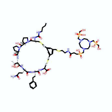 CCCCNC(=O)N[C@H]1CSCc2cc(CSCCNC(=O)CCP(=O)(O)CN3CCN(CP(=O)(O)CO)CCN(CP(=O)(O)CO)CC3)cc(c2)CSCC(C(=O)O)NC(=O)[C@H](CCc2ccccc2)NC(=O)[C@H](CCC(N)=O)NC(O)[C@H]([C@@H](C)O)NC(=O)[C@@H]2CCCN2C(O)[C@@H]2CCCN2C1=O